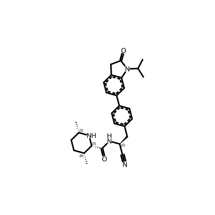 CC(C)N1C(=O)Cc2ccc(-c3ccc(C[C@@H](C#N)NC(=O)[C@H]4N[C@@H](C)CC[C@H]4C)cc3)cc21